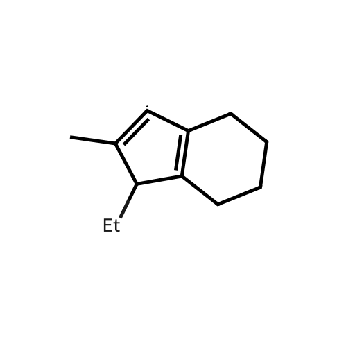 CCC1C(C)=[C]C2=C1CCCC2